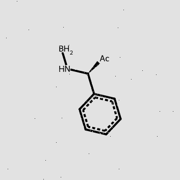 BN[C@@H](C(C)=O)c1ccccc1